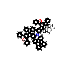 CC1(C)c2ccccc2-c2c1c1c(c3c2oc2ccccc23)-c2ccc(N(c3ccc4c(c3)C(c3ccccc3)(c3ccccc3)c3cc(-c5ccccc5)c5oc6ccccc6c5c3-4)c3ccc4c(c3)C3(c5ccccc5-c5ccccc53)c3ccccc3-4)cc2C1(C)C